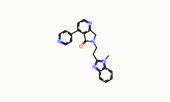 Cn1c(CCN2Cc3nccc(-c4ccncc4)c3C2=O)nc2ccccc21